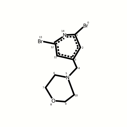 Brc1cc(CN2CCOCC2)cc(Br)n1